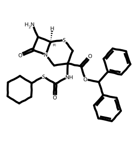 NC1C(=O)N2CC(NC(=O)SC3CCCCC3)(C(=O)OC(c3ccccc3)c3ccccc3)CS[C@H]12